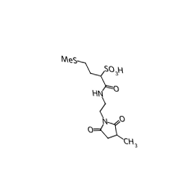 CSCCC(C(=O)NCCN1C(=O)CC(C)C1=O)S(=O)(=O)O